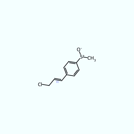 C[S+]([O-])c1ccc(/C=C/CCl)cc1